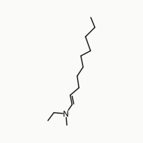 CCCCCCCCC=CN(C)CC